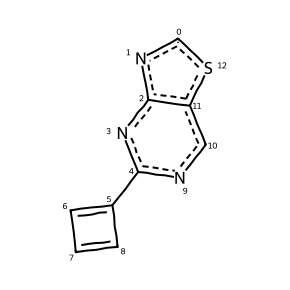 [c]1nc2nc(C3=CC=C3)ncc2s1